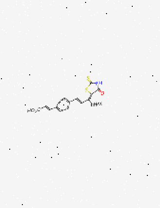 CCCCCCC(C=Cc1ccc(C=CC(=O)O)cc1)=C1SC(=S)NC1=O